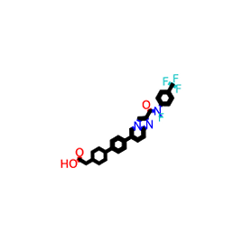 O=C(O)CC1CCC(c2ccc(-c3ccc4nc(C(=O)N(F)c5ccc(C(F)(F)F)cc5)cn4c3)cc2)CC1